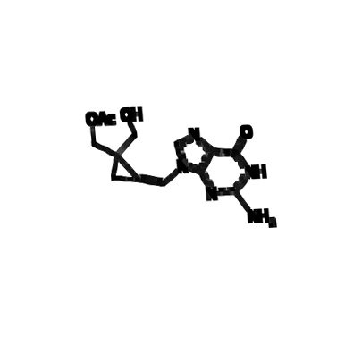 CC(=O)OCC1(CO)CC1=Cn1cnc2c(=O)[nH]c(N)nc21